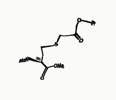 CN[C@@H](CSCC(=O)OC(C)C)C(=O)OC